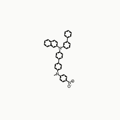 CN(c1ccc(-c2ccc(N(c3cccc(-c4ccccc4)c3)c3ccc4ccccc4c3)cc2)cc1)c1ccc([N+](=O)[O-])cc1